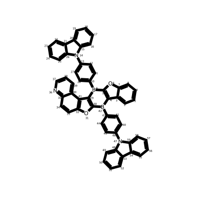 c1ccc2c3c(oc2c1)B(c1ccc(-n2c4ccccc4c4ccccc42)cc1)c1c(oc2ccc4ncccc4c12)B3c1ccc(-n2c3ccccc3c3ccccc32)cc1